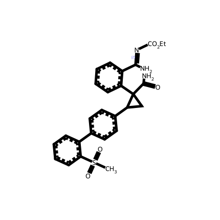 CCOC(=O)/N=C(\N)c1ccccc1C1(C(N)=O)CC1c1ccc(-c2ccccc2S(C)(=O)=O)cc1